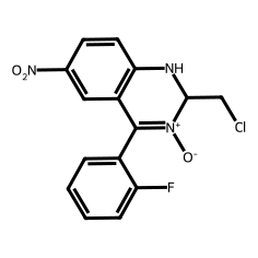 O=[N+]([O-])c1ccc2c(c1)C(c1ccccc1F)=[N+]([O-])C(CCl)N2